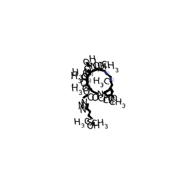 COc1cc2cc(c1Cl)N(C)C(=O)C[C@H](OC(=O)Cn1cc(CCC[Si](C)(C)O)nn1)[C@@]1(C)O[C@H]1C(C)(C)[C@@H]1C[C@@](O)(NC(=O)O1)[C@H](OC)/C=C/C=C(\C)C2